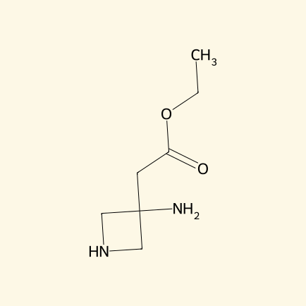 CCOC(=O)CC1(N)CNC1